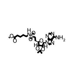 COC(=O)CCCCNS(=O)(=O)CC[C@H]1O[C@@H](n2cnc3c(N)ncnc32)[C@@H]2OC(C)(C)O[C@@H]21